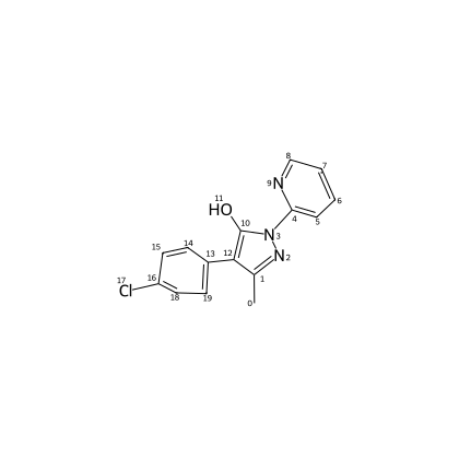 Cc1nn(-c2cc[c]cn2)c(O)c1-c1ccc(Cl)cc1